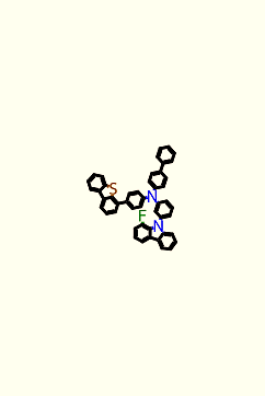 Fc1cccc2c3ccccc3n(-c3cccc(N(c4ccc(-c5ccccc5)cc4)c4ccc(-c5cccc6c5sc5ccccc56)cc4)c3)c12